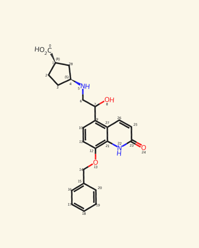 O=C(O)[C@@H]1CC[C@H](NCC(O)c2ccc(OCc3ccccc3)c3[nH]c(=O)ccc23)C1